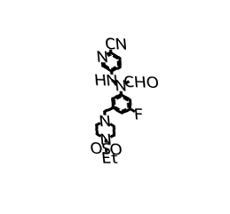 CCS(=O)(=O)N1CCN(Cc2cc(F)cc(N(C=O)Nc3ccc(C#N)nc3)c2)CC1